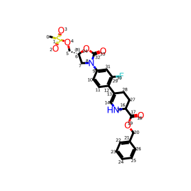 CS(=O)(=O)OC[C@H]1CN(c2ccc(C3=CNC(C(=O)OCc4ccccc4)CC3)c(F)c2)C(=O)O1